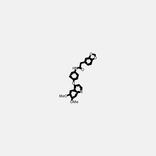 COc1cc2nccc(Oc3ccc(NC(=O)Cc4ccc5c(c4)OCO5)cc3)c2cc1OC